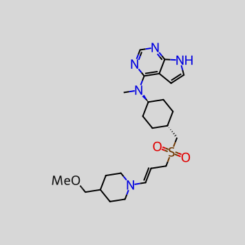 COCC1CCN(C=CCS(=O)(=O)C[C@H]2CC[C@H](N(C)c3ncnc4[nH]ccc34)CC2)CC1